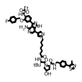 CCS(=O)(=O)Nc1ccc(-c2n[nH]c3c(-c4cnn(CCCCCCC(=O)N[C@H](C(=O)N5C[C@H](O)C[C@H]5C(=O)NCc5ccc(-c6scnc6C)cc5)C(C)(C)C)c4)cnc(N)c23)cc1OCc1ccc(F)cc1